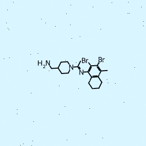 C/C(=N\c1c(Br)c(Br)c(C)c2c1CCCC2)N1CCC(CN)CC1